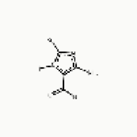 Nc1nc(Br)n(I)c1C(=O)Br